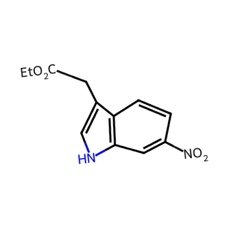 CCOC(=O)Cc1c[nH]c2cc([N+](=O)[O-])ccc12